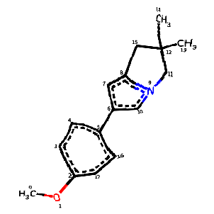 COc1ccc(-c2cc3n(c2)CC(C)(C)C3)cc1